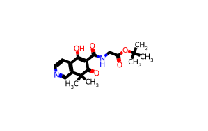 CC(C)(C)OC(=O)CNC(=O)C1=C(O)c2ccncc2C(C)(C)C1=O